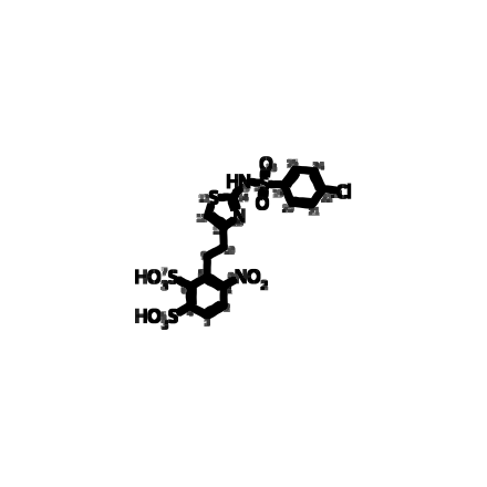 O=[N+]([O-])c1ccc(S(=O)(=O)O)c(S(=O)(=O)O)c1CCc1csc(NS(=O)(=O)c2ccc(Cl)cc2)n1